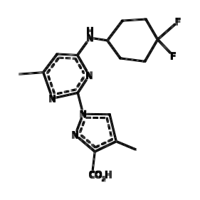 Cc1cc(NC2CCC(F)(F)CC2)nc(-n2cc(C)c(C(=O)O)n2)n1